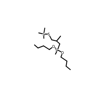 CCCCO[Si](C)(CC(C)CS[Si](C)(C)C)OCCCC